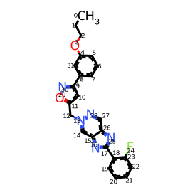 CCCOc1cccc(-c2cc(Cn3cc4nc(-c5ccccc5F)nc-4cn3)on2)c1